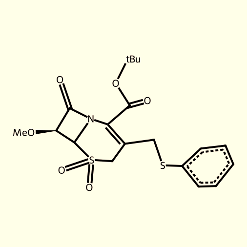 CO[C@H]1C(=O)N2C(C(=O)OC(C)(C)C)=C(CSc3ccccc3)CS(=O)(=O)C12